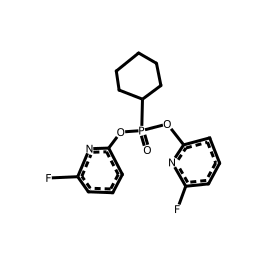 O=P(Oc1cccc(F)n1)(Oc1cccc(F)n1)C1CCCCC1